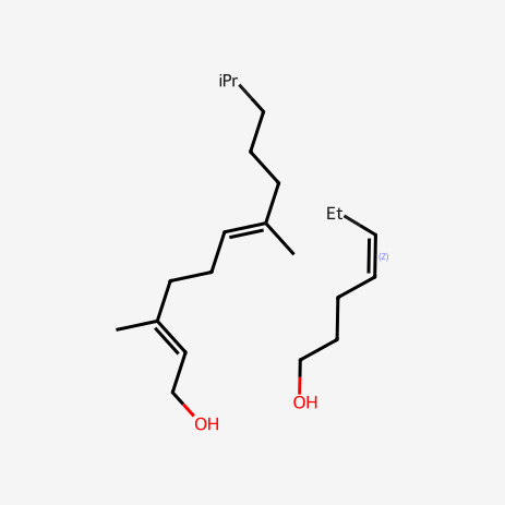 CC(=CCO)CCC=C(C)CCCC(C)C.CC/C=C\CCCO